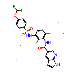 O=C(Nc1c(F)ccc(NS(=O)(=O)c2ccc(OC(F)F)cc2)c1F)c1cnc2[nH]ccc2c1